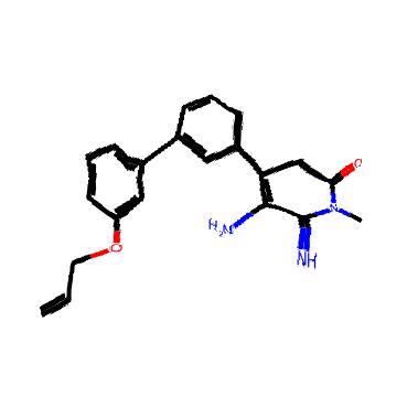 C=CCOc1cccc(C2=CC(C3=C(N)C(=N)N(C)C(=O)C3)CC=C2)c1